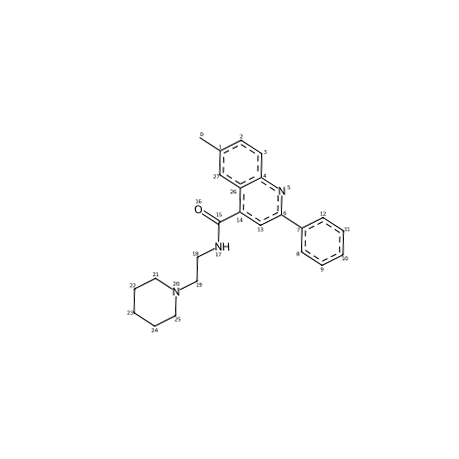 Cc1ccc2nc(-c3ccccc3)cc(C(=O)NCCN3CCCCC3)c2c1